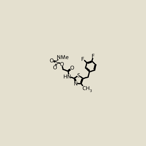 CNS(=O)(=O)OCC(=O)Nc1nc(C)c(Cc2ccc(F)c(F)c2)s1